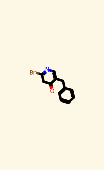 O=C1CC(Br)=NC=C1Cc1ccccc1